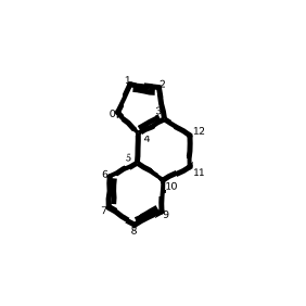 [CH]1C=CC2=C1C1C=CC=CC1CC2